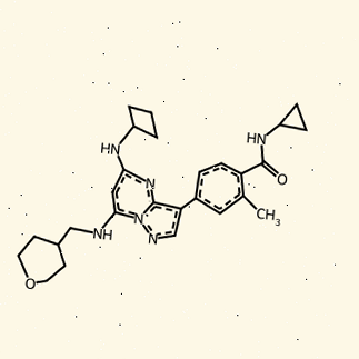 Cc1cc(-c2cnn3c(NCC4CCOCC4)cc(NC4CCC4)nc23)ccc1C(=O)NC1CC1